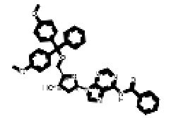 COc1ccc(C(OC[C@H]2O[C@@H](n3cnc4c(NC(=O)c5ccccc5)ncnc43)C[C@@H]2O)(c2ccccc2)c2ccc(OC)cc2)cc1